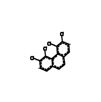 Clc1[c]cc2ccc3c[c]c(Cl)c(Cl)c3c2c1Cl